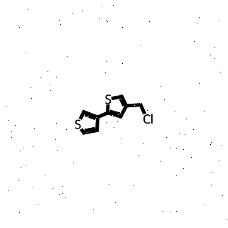 ClCc1csc(-c2ccsc2)c1